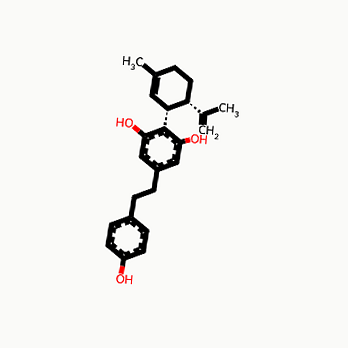 C=C(C)[C@H]1CCC(C)=C[C@H]1c1c(O)cc(CCc2ccc(O)cc2)cc1O